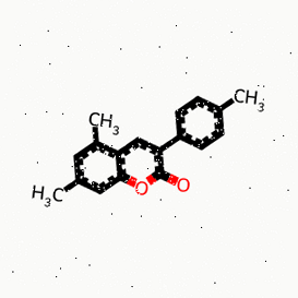 Cc1ccc(-c2cc3c(C)cc(C)cc3oc2=O)cc1